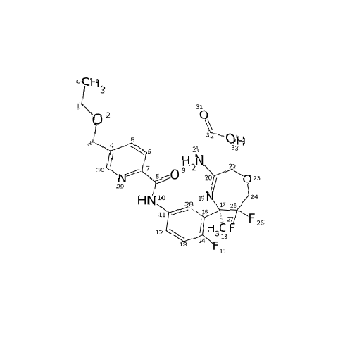 CCOCc1ccc(C(=O)Nc2ccc(F)c([C@@]3(C)N=C(N)COCC3(F)F)c2)nc1.O=CO